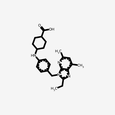 CCc1nc2c(C)cc(C)nc2n1Cc1ccc(NC2CCC(C(=O)O)CC2)cc1